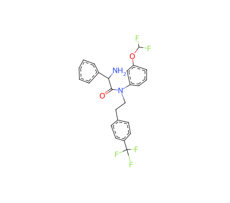 NC(C(=O)N(CCc1ccc(C(F)(F)F)cc1)c1cccc(OC(F)F)c1)c1ccccc1